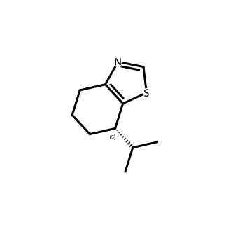 CC(C)[C@@H]1CCCc2ncsc21